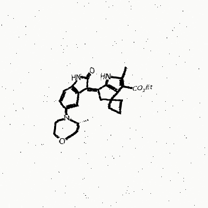 CCOC(=O)c1c(C)[nH]c2c1C1(CCC1)C/C2=C1/C(=O)Nc2ccc(N3CCOC[C@H]3C)cc21